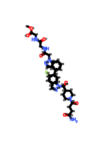 COC(=O)CNC(=O)CNC(=O)Cn1ncc2c(-c3cc4c(cnn4C(=O)C4CCN(C(=O)CCC(N)=O)CC4)cc3F)cccc21